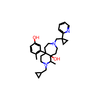 Cc1ccc(O)cc1C12CCN(CC3(c4ccccn4)CC3)CCC1(O)C(C)N(CC1CC1)CC2